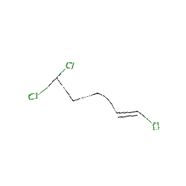 ClC=CCCC(Cl)Cl